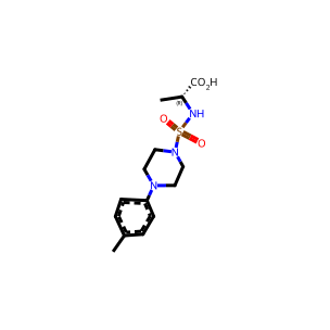 Cc1ccc(N2CCN(S(=O)(=O)N[C@H](C)C(=O)O)CC2)cc1